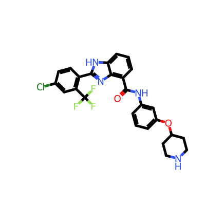 O=C(Nc1cccc(OC2CCNCC2)c1)c1cccc2[nH]c(-c3ccc(Cl)cc3C(F)(F)F)nc12